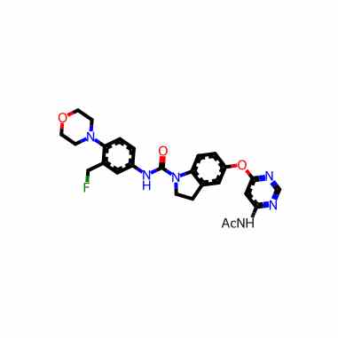 CC(=O)Nc1cc(Oc2ccc3c(c2)CCN3C(=O)Nc2ccc(N3CCOCC3)c(CF)c2)ncn1